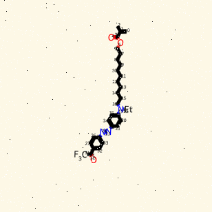 C=C(C)C(=O)OCCCCCCCCCCCN(CC)c1ccc(/N=N/c2ccc(C(=O)C(F)(F)F)cc2)cc1